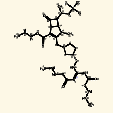 BNPOC(=O)/N=C(\NC[C@H]1CCN(CC2=C(C(=O)OPNB)N3C(=O)C([C@@H](C)O[Si](CC)(CC)CC)C3[C@H]2C)C1)NC(=O)OPNB